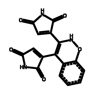 O=C1C=C(C2=C(C3=CC(=O)NC3=O)c3ccccc3ON2)C(=O)N1